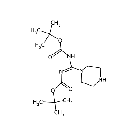 CC(C)(C)OC(=O)/N=C(/NC(=O)OC(C)(C)C)N1CCNCC1